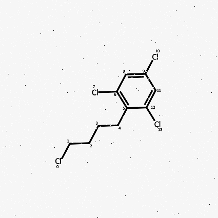 ClCCCCc1c(Cl)cc(Cl)cc1Cl